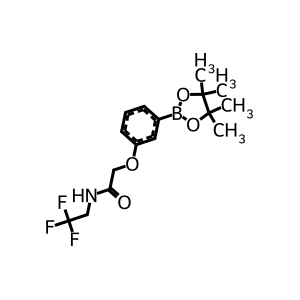 CC1(C)OB(c2cccc(OCC(=O)NCC(F)(F)F)c2)OC1(C)C